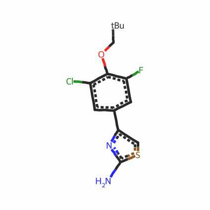 CC(C)(C)COc1c(F)cc(-c2csc(N)n2)cc1Cl